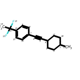 CC1CCC(C#Cc2ccc(C(F)(F)C(F)(F)F)cc2)CC1